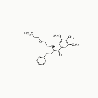 COc1cc(C(=O)C(CCc2ccccc2)NCCOCCC(=O)O)cc(OC)c1C